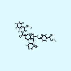 N=C(N)c1ccc(CCc2nc3cc(C(=O)N(CCN)Cc4ccccc4)ccc3n2CC2=CC=CCC2=S)cc1